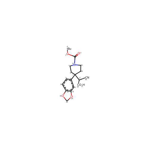 CC(C)(C)OC(=O)N1CCC(c2ccc3c(c2)OCO3)(C(C#N)C(=O)O)CC1